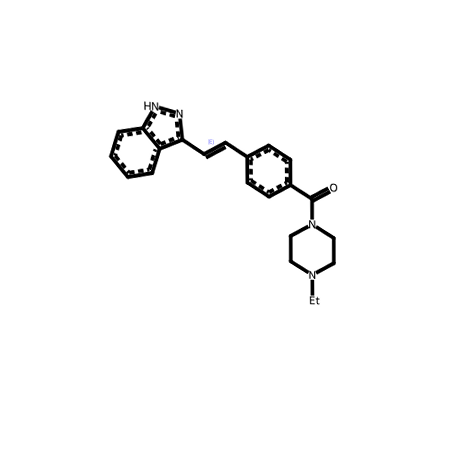 CCN1CCN(C(=O)c2ccc(/C=C/c3n[nH]c4ccccc34)cc2)CC1